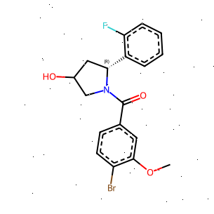 COc1cc(C(=O)N2CC(O)C[C@@H]2c2ccccc2F)ccc1Br